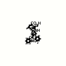 CC1C=C(C(=O)O)N2C(=O)C(NC(=O)CN(C(=O)COc3ccccc3[N+](=O)[O-])c3ccccc3)[C@@H]2S1